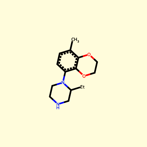 CCC1CNCCN1c1ccc(C)c2c1OCCO2